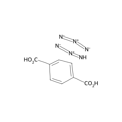 O=C(O)c1ccc(C(=O)O)cc1.[N-]=[N+]=N.[N-]=[N+]=[N-]